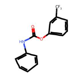 O=C(Nc1ccccc1)Oc1cccc(C(F)(F)F)c1